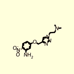 CN(C)CCn1cc(COc2ccc([N+](=O)[O-])c(N)c2)nn1